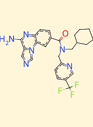 Nc1nc2ccc(C(=O)N(Cc3ccc(C(F)(F)F)cn3)CC3CCCCC3)cc2n2cncc12